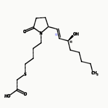 CCCCC[C@H](O)/C=C/C1CCC(=O)N1CCCCSCC(=O)O